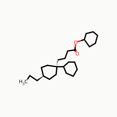 CCC[C@H]1CC[C@@](CCCC(=O)OC2CCCCC2)(C2CCCCC2)CC1